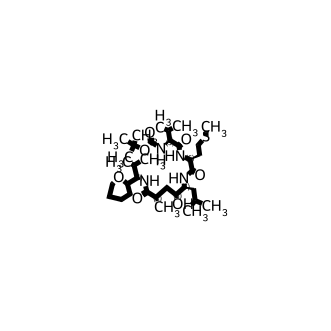 CSCC[C@H](NC(=O)[C@@H](NC(=O)OC(C)(C)C)C(C)C)C(=O)N[C@@H](CC(C)C)[C@@H](O)C[C@@H](C)C(=O)N[C@@H](C(C)C)C1CCCCO1